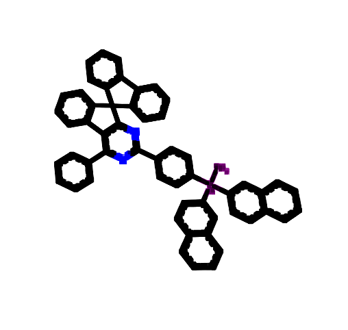 P[PH](c1ccc(-c2nc(-c3ccccc3)c3c(n2)C2(c4ccccc4-c4ccccc42)c2ccccc2-3)cc1)(c1ccc2ccccc2c1)c1ccc2ccccc2c1